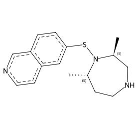 C[C@H]1CCNC[C@H](C)N1Sc1ccc2cnccc2c1